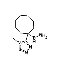 Cn1cnnc1C1(BN)CCCCCCC1